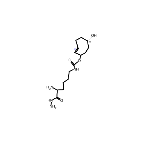 NNC(=O)C(N)CCCCNC(=O)OC1/C=C/CC[C@H](O)CC1